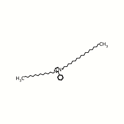 CCCCCCCCCCCCCCCCCCC[n+]1ccn(CCCCCCCCCCCCC)c1-c1ccccc1